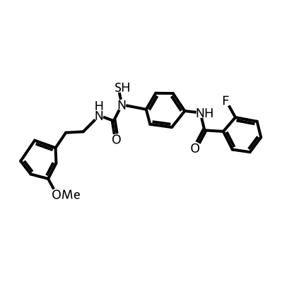 COc1cccc(CCNC(=O)N(S)c2ccc(NC(=O)c3ccccc3F)cc2)c1